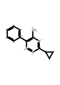 Cc1nc(C2CC2)nnc1-c1ccccc1